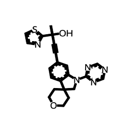 CC(O)(C#Cc1ccc2c(c1)N(c1ncncn1)CC21CCOCC1)c1nccs1